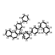 c1ccc(-c2ccc3c4c5ccccc5ccc4n(-c4nccc(-c5ccc(-c6cccc7ccccc67)cc5)n4)c3c2)cc1